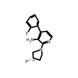 Nc1c(-c2ccccc2F)ccnc1N1CC[C@H](F)C1